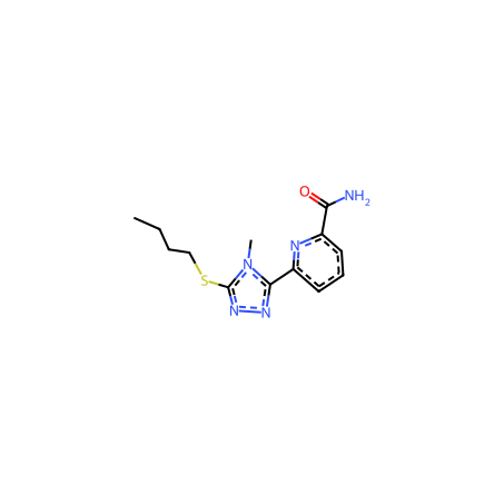 CCCCSc1nnc(-c2cccc(C(N)=O)n2)n1C